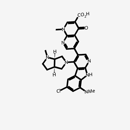 CNc1cc(Cl)cc2c1[nH]c1ncc(-c3cnc4c(c3)c(=O)c(C(=O)O)cn4C)c(N3C[C@H]4CCN(C)[C@H]4C3)c12